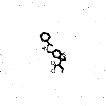 CC=C(C(=O)OC)c1csc2ccc(CN(C)C(C)c3ccccc3)cc12